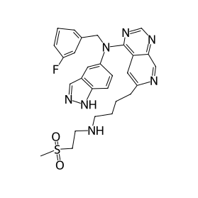 CS(=O)(=O)CCNCCCCc1cc2c(N(Cc3cccc(F)c3)c3ccc4[nH]ncc4c3)ncnc2cn1